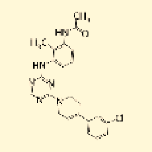 CC(=O)Nc1cccc(Nc2ncnc(N3CC=C(c4cccc(Cl)c4)CC3)n2)c1C